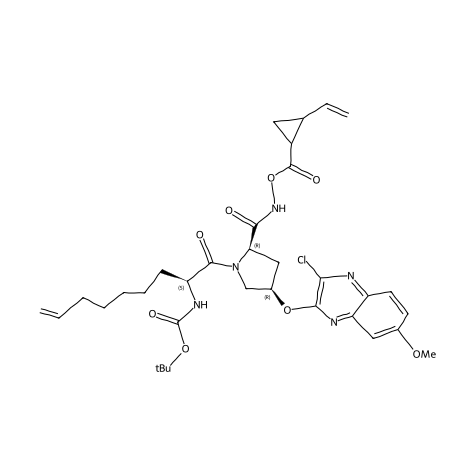 C=CCCCCC[C@H](NC(=O)OC(C)(C)C)C(=O)N1C[C@H](Oc2nc3cc(OC)ccc3nc2Cl)C[C@@H]1C(=O)NOC(=O)C1CC1C=C